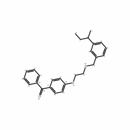 CCC(C)c1cccc(COCCOc2ccc(C(=O)c3ccccc3)cc2)c1